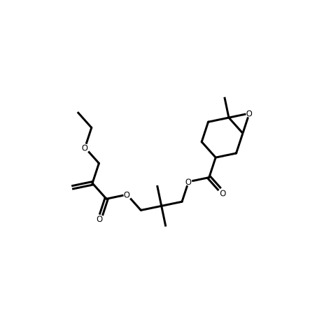 C=C(COCC)C(=O)OCC(C)(C)COC(=O)C1CCC2(C)OC2C1